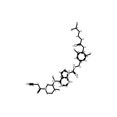 C=C(CC#N)N1CCC(C)C(N(C)c2ncnc3c2ccn3C(=O)OCc2cc(C)c(CC(=O)CCCC(C)C)c(C)c2)C1